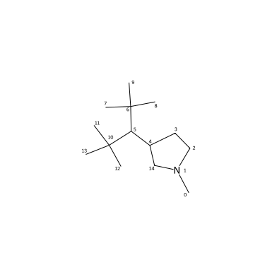 CN1CCC(C(C(C)(C)C)C(C)(C)C)C1